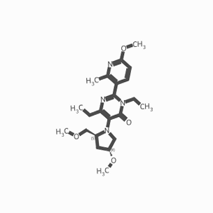 CCc1nc(-c2ccc(OC)nc2C)n(CC)c(=O)c1N1C[C@H](OC)C[C@H]1COC